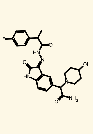 CC(C(=O)N/N=C1\C(=O)Nc2ccc(C(C(N)=O)N3CCC(O)CC3)cc21)c1ccc(F)cc1